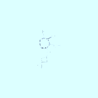 O=c1c(F)cccc(OC2CC3(CC3)C2)c1O